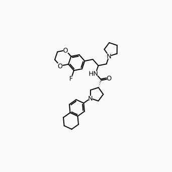 O=C(NC(Cc1cc(F)c2c(c1)OCCO2)CN1CCCC1)[C@@H]1CCN(c2ccc3c(c2)CCCC3)C1